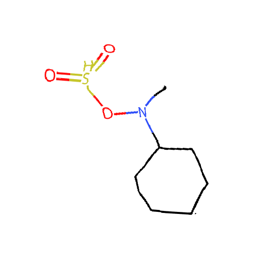 CN(O[SH](=O)=O)C1CC[CH]CC1